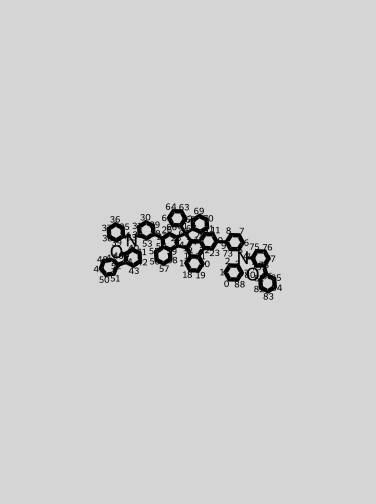 c1ccc(N(c2cccc(-c3ccc4c5c(c6ccccc6c4c3)-c3c(cc(-c4cccc(N(c6ccccc6)c6cccc7c6oc6ccccc67)c4)c4ccccc34)C5(c3ccccc3)c3ccccc3)c2)c2cccc3c2oc2ccccc23)cc1